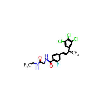 O=C(CNC(=O)c1ccc(/C=C/C(c2cc(Cl)c(Cl)c(Cl)c2)C(F)(F)F)cc1F)NCC(F)(F)F